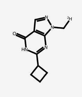 [2H]Cn1ncc2c(=O)[nH]c(C3CCC3)nc21